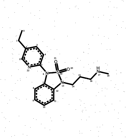 CCc1ccc(N2c3ccccc3N(CCCNC)S2(=O)=O)nc1